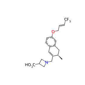 C[C@@H]1Cc2cc(OC/C=C/C(F)(F)F)ccc2C=C1CN1CC(C(=O)O)C1